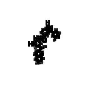 Cc1cc(-c2n[nH]c3c2CN(C(=O)NC2CNCC(C(C)c4ccc5ccccc5n4)C2)CC3)ccn1